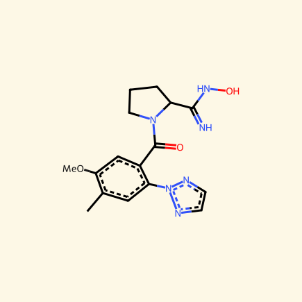 COc1cc(C(=O)N2CCCC2C(=N)NO)c(-n2nccn2)cc1C